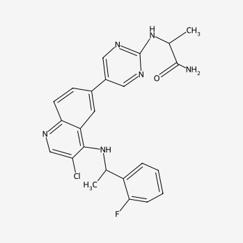 CC(Nc1ncc(-c2ccc3ncc(Cl)c(NC(C)c4ccccc4F)c3c2)cn1)C(N)=O